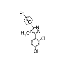 CCC12CCC(c3nnc(-c4ccc(O)cc4Cl)n3C)(CC1)CC2